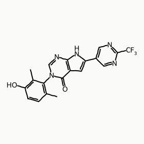 Cc1ccc(O)c(C)c1-n1cnc2[nH]c(-c3cnc(C(F)(F)F)nc3)cc2c1=O